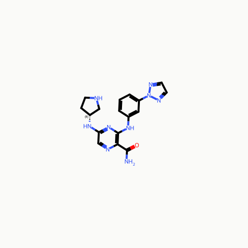 NC(=O)c1ncc(N[C@@H]2CCNC2)nc1Nc1cccc(-n2nccn2)c1